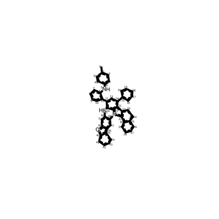 Cc1ccc(Nc2ccccc2-c2cc(-c3ccccc3)c3c4ccc5ccccc5c4n4c3c2Bc2cc3oc5ccccc5c3cc2-4)cc1